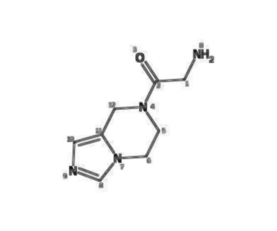 NCC(=O)N1CCn2cncc2C1